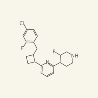 Fc1cc(Cl)ccc1CC1CCC1c1cccc(C2CCNCC2F)n1